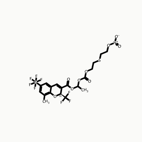 Cc1cc(S(F)(F)(F)(F)F)cc2c1O[C@H](C(F)(F)F)C(C(=O)OC(C)OC(=O)OCCSCCO[N+](=O)[O-])=C2